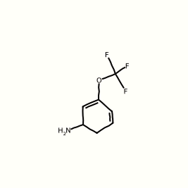 NC1C=C(OC(F)(F)F)C=CC1